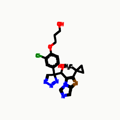 CC1(c2sc3cncn3c2C(O)C2(c3ccc(OCCCO)c(Cl)c3)C=NN=N2)CC1